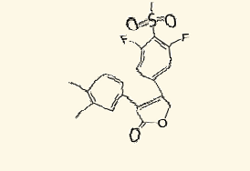 Cc1ccc(C2=C(c3cc(F)c(S(C)(=O)=O)c(F)c3)COC2=O)cc1C